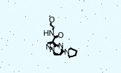 COCCNC(=O)c1cnn2ccc(N3CCCC3)nc12